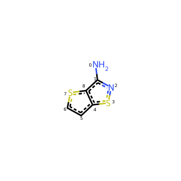 Nc1nsc2ccsc12